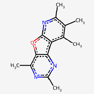 Cc1nc(C)c2oc3nc(C)c(C)c(C)c3c2n1